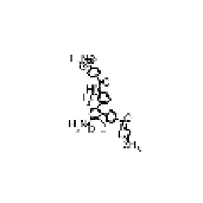 Cc1c(NC(=O)c2ccc(S(N)(=O)=O)cc2)cccc1-c1ccc(C(N)=O)c2[nH]c3cc(C(=O)N4CCN(C)CC4)ccc3c12